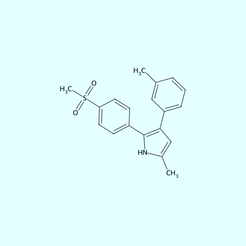 Cc1cccc(-c2cc(C)[nH]c2-c2ccc(S(C)(=O)=O)cc2)c1